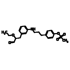 CCOC(C=O)Cc1cccc(NCCCc2ccc(OS(C)(=O)=O)cc2)c1